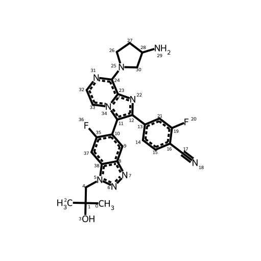 CC(C)(O)Cn1nnc2cc(-c3c(-c4ccc(C#N)c(F)c4)nc4c(N5CCC(N)C5)nccn34)c(F)cc21